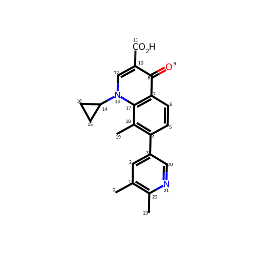 Cc1cc(-c2ccc3c(=O)c(C(=O)O)cn(C4CC4)c3c2C)cnc1C